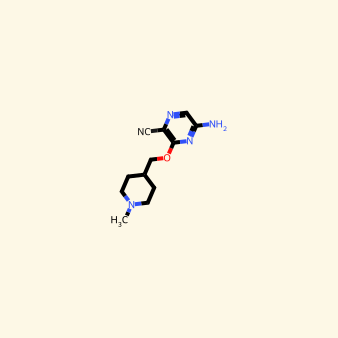 CN1CCC(COc2nc(N)cnc2C#N)CC1